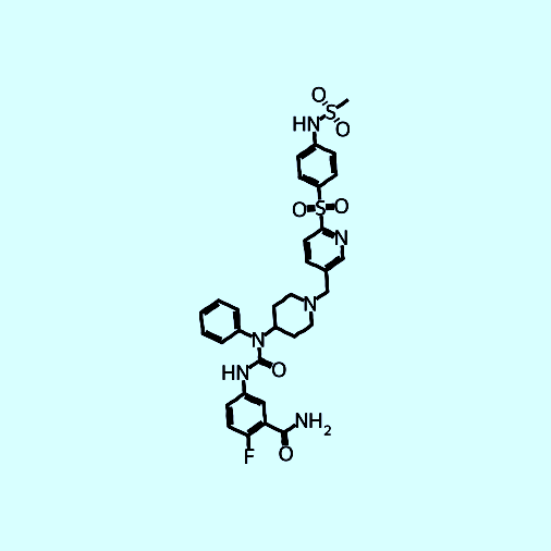 CS(=O)(=O)Nc1ccc(S(=O)(=O)c2ccc(CN3CCC(N(C(=O)Nc4ccc(F)c(C(N)=O)c4)c4ccccc4)CC3)cn2)cc1